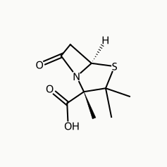 CC1(C)S[C@@H]2CC(=O)N2[C@@]1(C)C(=O)O